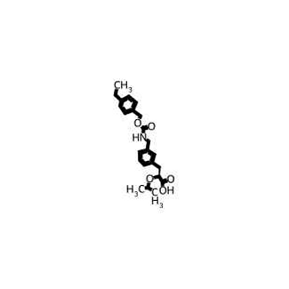 CCc1ccc(COC(=O)NCc2cccc(C[C@H](OC(C)C)C(=O)O)c2)cc1